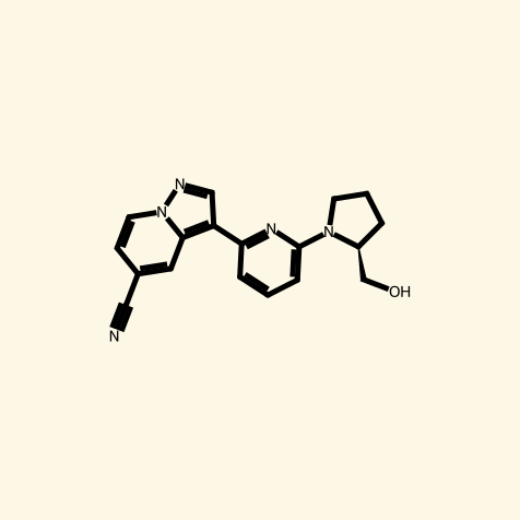 N#Cc1ccn2ncc(-c3cccc(N4CCC[C@H]4CO)n3)c2c1